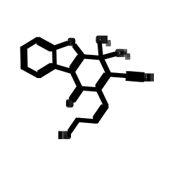 C#CC1=C(/C=C\CO)C(=O)c2c(oc3ccccc23)C1(C)C